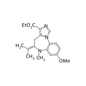 CCOC(=O)c1ncn2c1CC(=C(C)C)N(C)c1cc(OC)ccc1-2